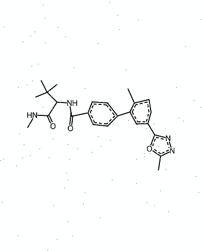 CNC(=O)C(NC(=O)c1ccc(-c2cc(-c3nnc(C)o3)ccc2C)cc1)C(C)(C)C